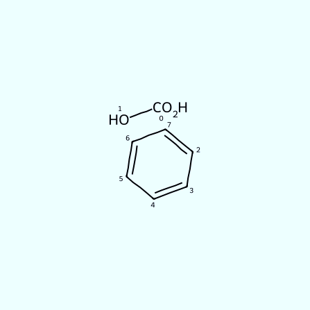 O=C(O)O.c1ccccc1